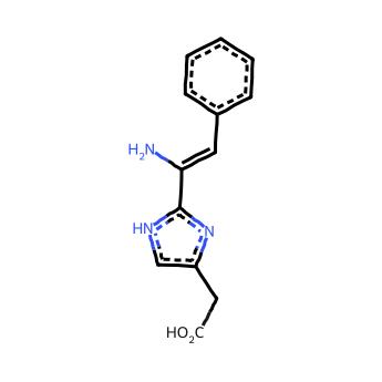 NC(=Cc1ccccc1)c1nc(CC(=O)O)c[nH]1